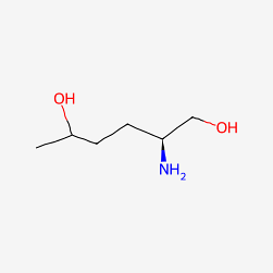 CC(O)CC[C@H](N)CO